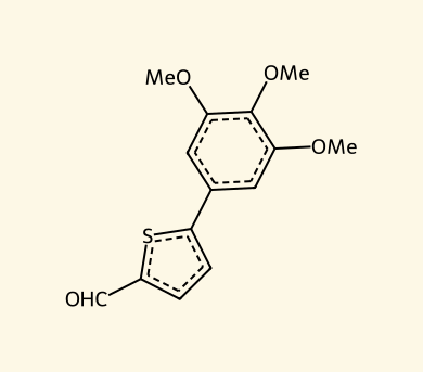 COc1cc(-c2ccc(C=O)s2)cc(OC)c1OC